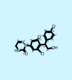 O=C1NCC=NN1c1cc(Cl)c(C(CO)c2ccc(Cl)cc2)c(Cl)c1